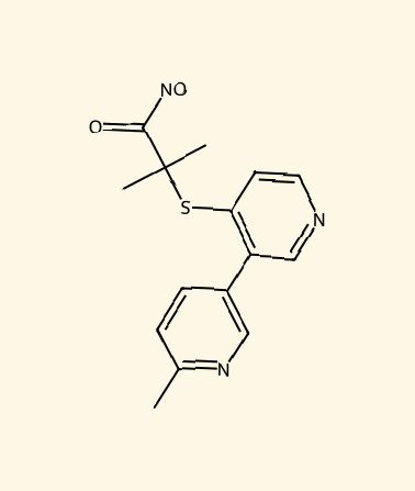 Cc1ccc(-c2cnccc2SC(C)(C)C(=O)N=O)cn1